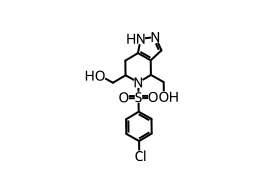 O=S(=O)(c1ccc(Cl)cc1)N1C(CO)Cc2[nH]ncc2C1CO